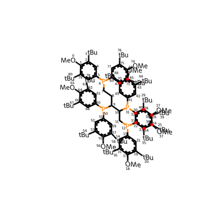 COc1c(C(C)(C)C)cc(P(CCC(C(CP(c2cc(C(C)(C)C)c(OC)c(C(C)(C)C)c2)c2cc(C(C)(C)C)c(OC)c(C(C)(C)C)c2)P(c2cc(C(C)(C)C)c(OC)c(C(C)(C)C)c2)c2cc(C(C)(C)C)c(OC)c(C(C)(C)C)c2)P(c2cc(C(C)(C)C)c(OC)c(C(C)(C)C)c2)c2cc(C(C)(C)C)c(OC)c(C(C)(C)C)c2)c2cc(C(C)(C)C)c(OC)c(C(C)(C)C)c2)cc1C(C)(C)C